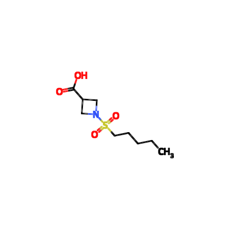 CCCCCS(=O)(=O)N1CC(C(=O)O)C1